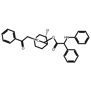 O=C(C[N+]12CCC(CC1)[C@H](OC(=O)C(Nc1ccccc1)c1ccccc1)C2)c1ccccc1